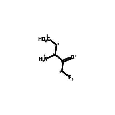 NC(CC(=O)O)C(=O)CF